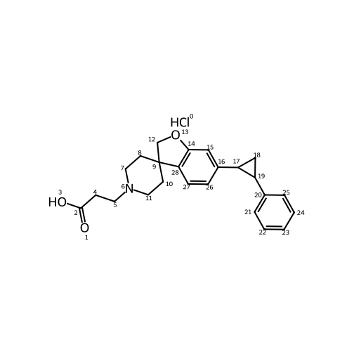 Cl.O=C(O)CCN1CCC2(CC1)COc1cc(C3CC3c3ccccc3)ccc12